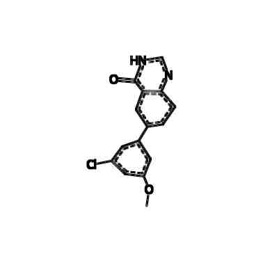 COc1cc(Cl)cc(-c2ccc3nc[nH]c(=O)c3c2)c1